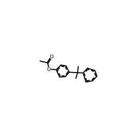 CC(=O)Oc1ccc(C(C)(C)c2ccccc2)cc1